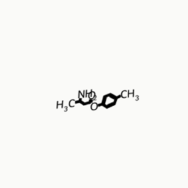 Cc1ccc(OC(=O)CC(C)N)cc1